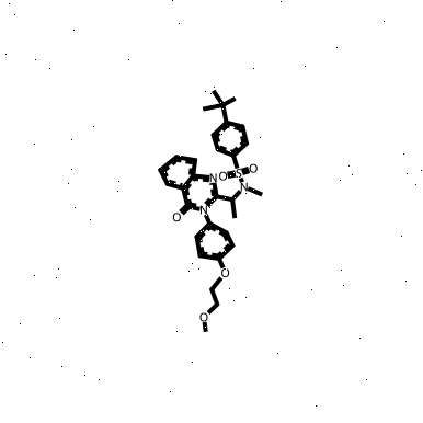 COCCOc1ccc(-n2c(C(C)N(C)S(=O)(=O)c3ccc(C(C)(C)C)cc3)nc3ccccc3c2=O)cc1